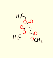 CCOC(=O)C(CCC(=O)OC)C(=O)OCC